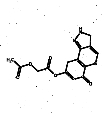 CC(=O)OCC(=O)OC1=CC(=O)C2=C(C1)C1=NNCC1=CS2